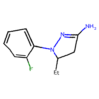 CCC1CC(N)=NN1c1ccccc1F